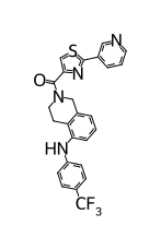 O=C(c1csc(-c2cccnc2)n1)N1CCc2c(cccc2Nc2ccc(C(F)(F)F)cc2)C1